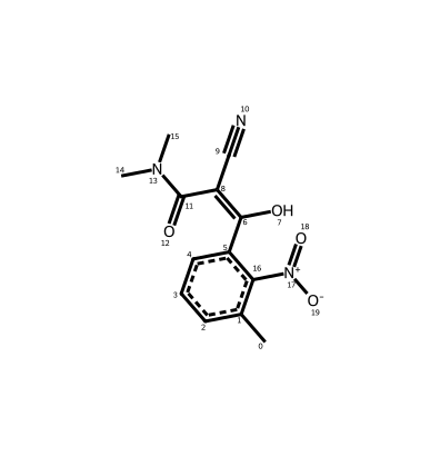 Cc1cccc(C(O)=C(C#N)C(=O)N(C)C)c1[N+](=O)[O-]